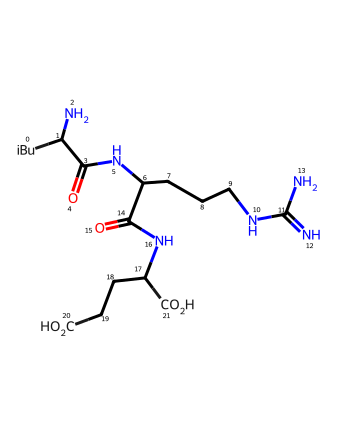 CCC(C)C(N)C(=O)NC(CCCNC(=N)N)C(=O)NC(CCC(=O)O)C(=O)O